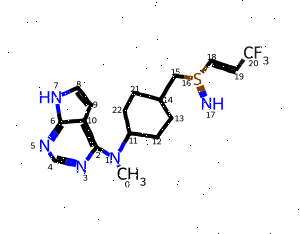 CN(c1ncnc2[nH]ccc12)C1CCC(CS(=N)/C=C/C(F)(F)F)CC1